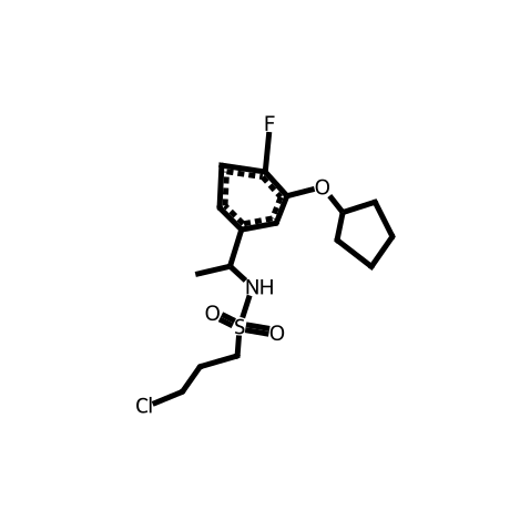 CC(NS(=O)(=O)CCCCl)c1ccc(F)c(OC2CCCC2)c1